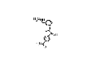 NNCc1cccc(NC(=O)N(S)c2ccc(C(N)=O)cc2)c1